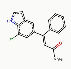 CNC(=O)/C=C(\c1ccccc1)c1cc(F)c2[nH]ccc2c1